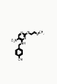 N#Cc1ccc(CNc2nc(OCCOC(F)(F)F)ncc2[N+](=O)[O-])cc1